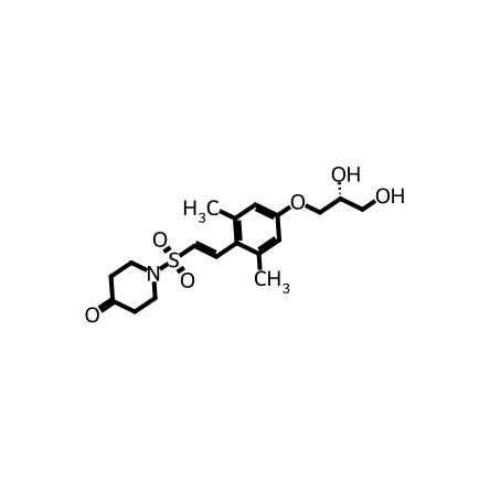 Cc1cc(OC[C@H](O)CO)cc(C)c1/C=C/S(=O)(=O)N1CCC(=O)CC1